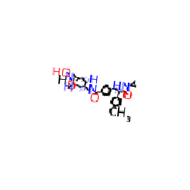 C=C(/C=C\C(=C/C=O)CNC(=O)c1ccc(/C=C(/C(=O)NC2CC2)c2ccc(C)cc2)cc1)CNO